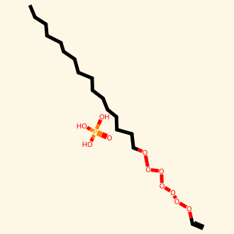 C=COOOOOOOCCCCCCCCCCCCCCCC.O=P(O)(O)O